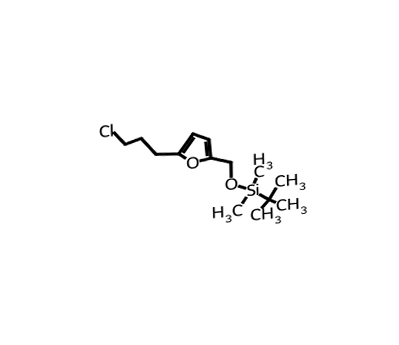 CC(C)(C)[Si](C)(C)OCc1ccc(CCCCl)o1